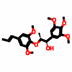 C/C=C/c1cc(OC)c(O[C@H](C)[C@@H](O)c2cc(OC)c(OC)c(OC)c2)c(OC)c1